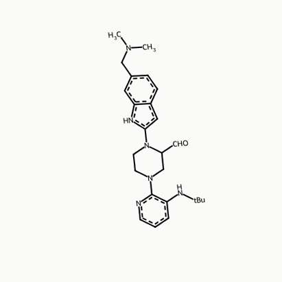 CN(C)Cc1ccc2cc(N3CCN(c4ncccc4NC(C)(C)C)CC3C=O)[nH]c2c1